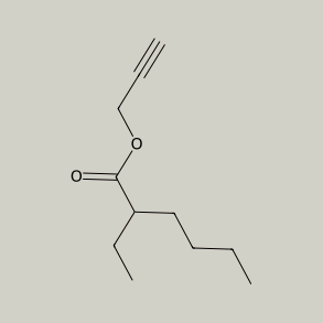 C#CCOC(=O)C(CC)CCCC